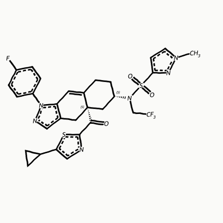 Cn1ccc(S(=O)(=O)N(CC(F)(F)F)[C@H]2CCC3=Cc4c(cnn4-c4ccc(F)cc4)C[C@]3(C(=O)c3ncc(C4CC4)s3)C2)n1